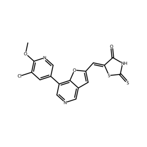 COc1ncc(-c2cncc3cc(/C=C4\SC(=S)NC4=O)oc23)cc1Cl